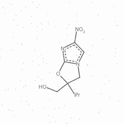 CC(C)C1(CO)Cn2cc([N+](=O)[O-])nc2O1